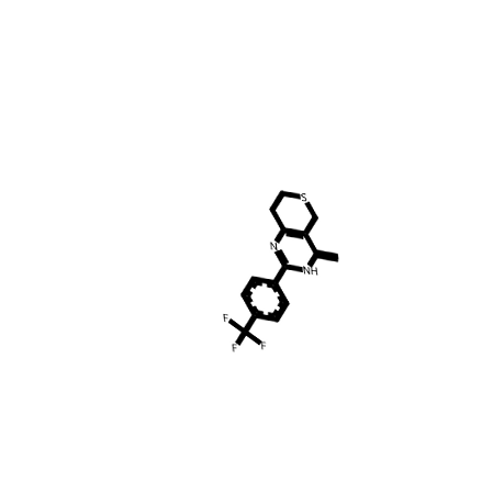 C=C1NC(c2ccc(C(F)(F)F)cc2)=NC2=C1CSCC2